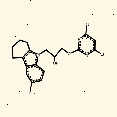 Bc1ccc2c(c1)c1c(n2CC(O)COc2nc(CC)cc(CC)n2)CCCC1